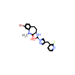 CN1C(=O)[C@H](NC(O)n2cc(Cc3cccnc3F)cn2)CCc2ccc(Br)cc21